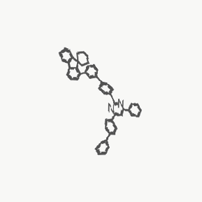 c1ccc(-c2ccc(-c3cc(-c4ccccc4)nc(-c4ccc(-c5cccc(-c6cccc7c6C6(CCCCC6)c6ccccc6-7)c5)cc4)n3)cc2)cc1